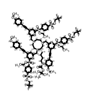 CCOP(=O)(c1ccc(S(=O)(=O)OCC(F)(F)F)cc1)c1cc(C#Cc2ccc(OC)cc2)cc(CN2CCN(Cc3cc(C#Cc4ccc(OC)cc4)cc(P(=O)(OCC)c4ccc(S(=O)(=O)OCC(F)(F)F)cc4)n3)C[C@H](CCCCNC(=O)OC(C)(C)C)N(Cc3cc(C#Cc4ccc(OC)cc4)cc(P(=O)(OCC)c4ccc(S(=O)(=O)OCC(F)(F)F)cc4)n3)CC2)n1